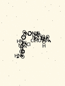 CCNC(=O)[C@@H]1CC[C@H](n2cnc3c(NC4CCN(C(=O)N5CCC(Nc6nc(Cl)nc7c6ncn7[C@@H]6O[C@H](C(=O)NCC)[C@@H](O)[C@H]6O)CC5)CC4)nc(Cl)nc32)O1